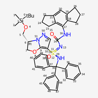 CC(C)(C)[Si](C)(C)OC[C@H]1COc2c([S@@](=O)(=NC(=O)Nc3c4c(cc5c3CCC5)CCC4)NC(c3ccccc3)(c3ccccc3)c3ccccc3)cnn21